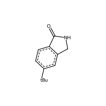 CC(C)(C)c1ccc2c(c1)CNC2=O